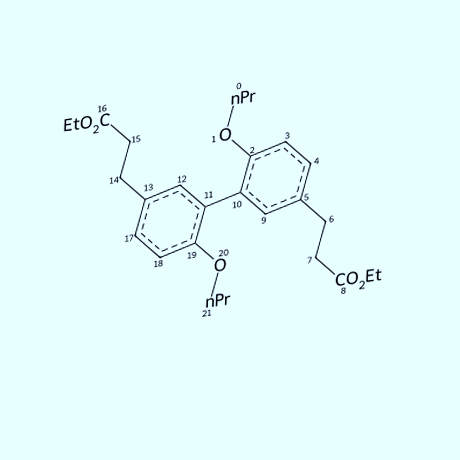 CCCOc1ccc(CCC(=O)OCC)cc1-c1cc(CCC(=O)OCC)ccc1OCCC